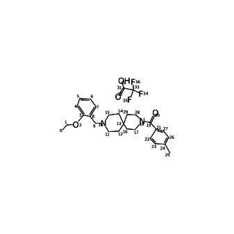 CCOc1ccccc1CN1CCC2(CC1)CCN(C(=O)c1ccc(C)cc1)CC2.O=C(O)C(F)(F)F